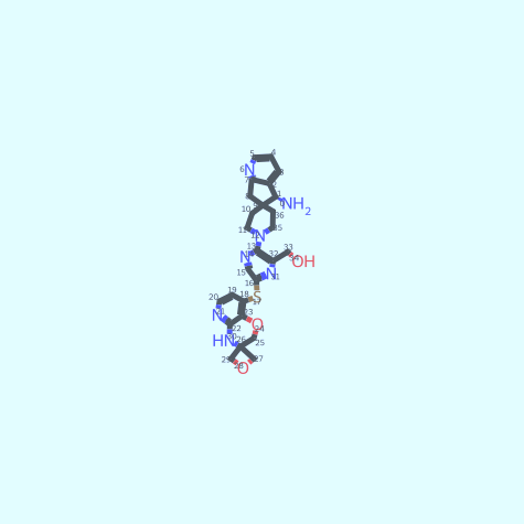 N[C@@H]1c2cccnc2CC12CCN(c1ncc(Sc3ccnc4c3OCC3(COC3)N4)nc1CO)CC2